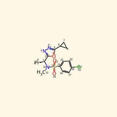 CC(C)[C@@H](c1nnc(C2CC2)o1)N(C)S(=O)(=O)c1ccc(Br)cc1